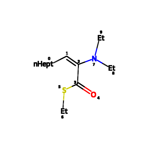 CCCCCCC/C=C(\C(=O)SCC)N(CC)CC